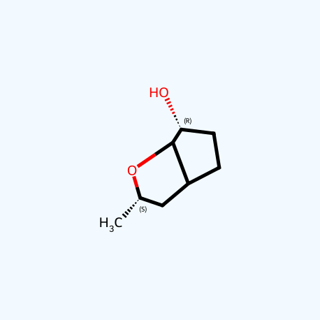 C[C@H]1CC2CC[C@@H](O)C2O1